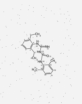 CCc1cccc(CC)c1NC(=N)NC(=O)Nc1c(C)cccc1C